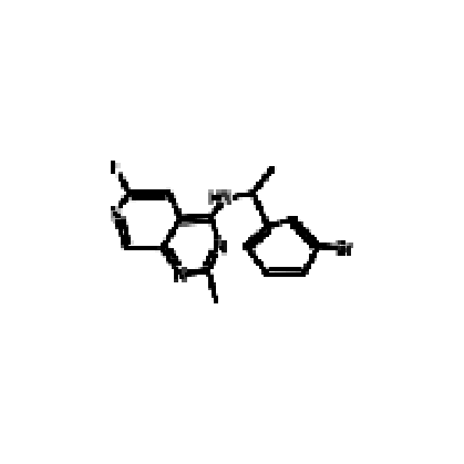 Cc1nc(NC(C)c2cccc(Br)c2)c2cc(F)ncc2n1